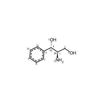 N[C@H](CO)[C@@H](O)c1ccccc1